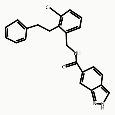 O=C(NCc1cccc(Cl)c1CCc1ccccc1)c1ccc2c[nH]nc2c1